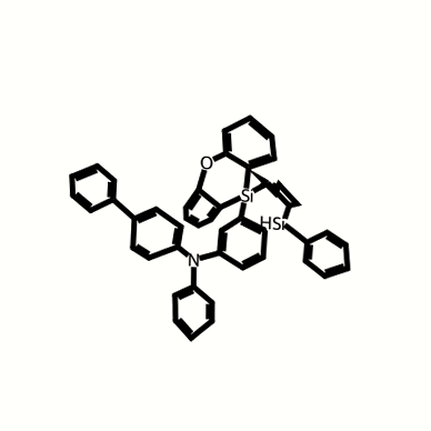 c1ccc(-c2ccc(N(c3ccccc3)c3ccc4c(c3)[Si]3(c5ccccc5Oc5ccccc53)c3ccccc3[SiH]4c3ccccc3)cc2)cc1